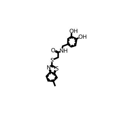 Cc1ccc2nc(SCC(=O)NCc3ccc(O)c(O)c3)sc2c1